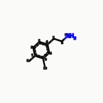 Cc1ccc(CCN)cc1C